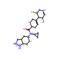 O=C(C1CC=C(C2C(F)C=NCC2F)CC1)N(C1CC1)C1CCC2NNCC2C1